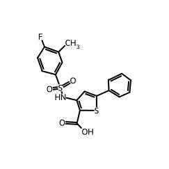 Cc1cc(S(=O)(=O)Nc2cc(-c3ccccc3)sc2C(=O)O)ccc1F